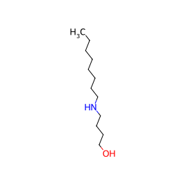 CCCCCCCCNCCCCO